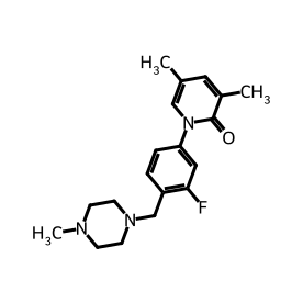 Cc1cc(C)c(=O)n(-c2ccc(CN3CCN(C)CC3)c(F)c2)c1